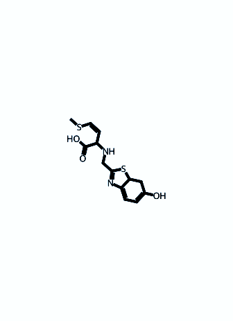 CS/C=C\C(NCC1=NC2=CC=C(O)CC2S1)C(=O)O